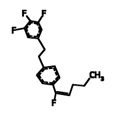 CCC/C=C(/F)c1ccc(CCc2cc(F)c(F)c(F)c2)cc1